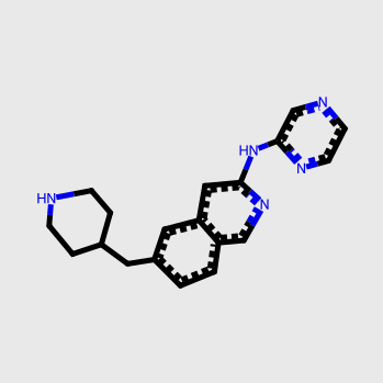 c1cnc(Nc2cc3cc(CC4CCNCC4)ccc3cn2)cn1